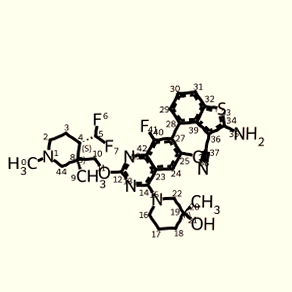 CN1CC[C@H](C(F)F)[C@](C)(COc2nc(N3CCC[C@@](C)(O)C3)c3cc(Cl)c(-c4cccc5sc(N)c(C#N)c45)c(F)c3n2)C1